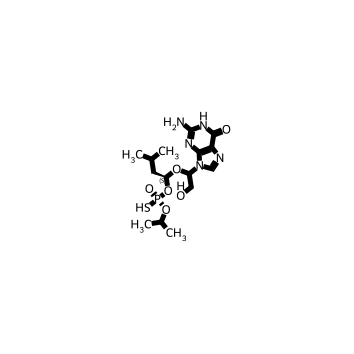 CC(C)C[C@@H](OC(CO)n1cnc2c(=O)[nH]c(N)nc21)OP(=O)(S)OC(C)C